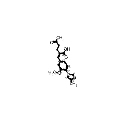 COc1cc(C=C(CCC(C)=O)C(=O)O)ccc1-n1cnc(C)c1